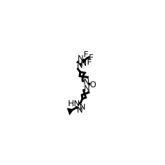 O=C(N1CC2(CC(Cn3cnc(C(F)(F)F)n3)C2)C1)N1CC2(CC(c3nnc(C4CC4)[nH]3)C2)C1